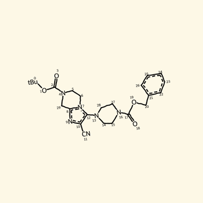 CC(C)(C)OC(=O)N1CCn2c(nc(C#N)c2N2CCN(C(=O)OCc3ccccc3)CC2)C1